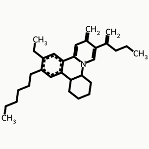 C=C1C=C2c3cc(CC)c(CCCCCC)cc3C3CCCCC3N2C=C1C(=C)CCC